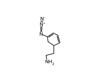 [N-]=[N+]=NC1=CC=CC(CCN)C1